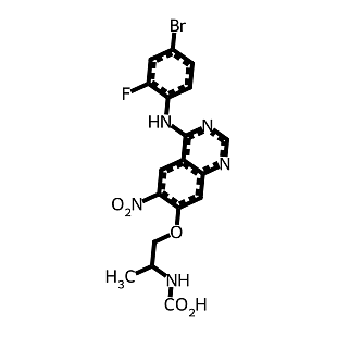 CC(COc1cc2ncnc(Nc3ccc(Br)cc3F)c2cc1[N+](=O)[O-])NC(=O)O